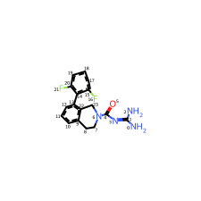 NC(N)=NC(=O)N1CCc2cccc(-c3c(F)cccc3F)c2C1